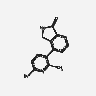 Cc1nc(C(C)C)ccc1-c1cccc2c1CNC2=O